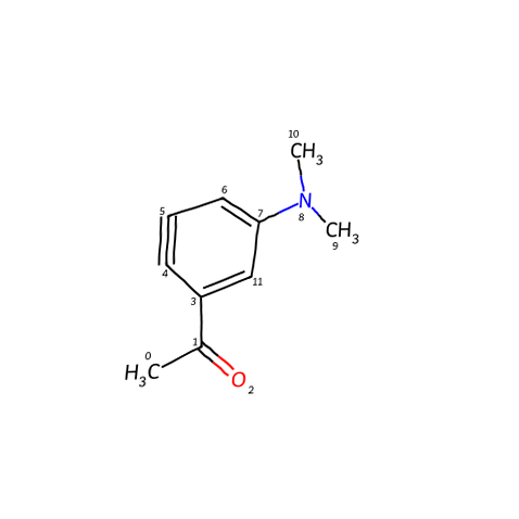 CC(=O)c1c#ccc(N(C)C)c1